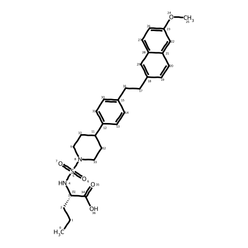 CCC[C@H](NS(=O)(=O)N1CCC(c2ccc(CCc3ccc4cc(OC)ccc4c3)cc2)CC1)C(=O)O